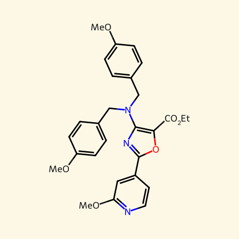 CCOC(=O)c1oc(-c2ccnc(OC)c2)nc1N(Cc1ccc(OC)cc1)Cc1ccc(OC)cc1